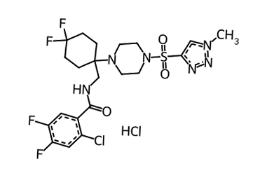 Cl.Cn1cc(S(=O)(=O)N2CCN(C3(CNC(=O)c4cc(F)c(F)cc4Cl)CCC(F)(F)CC3)CC2)nn1